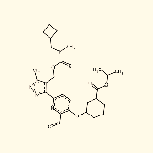 CC(C)OC(=O)C1CCCC(Oc2ccc(-c3nnn(C)c3COC(=O)N(C)CC3CCC3)nc2C=O)C1